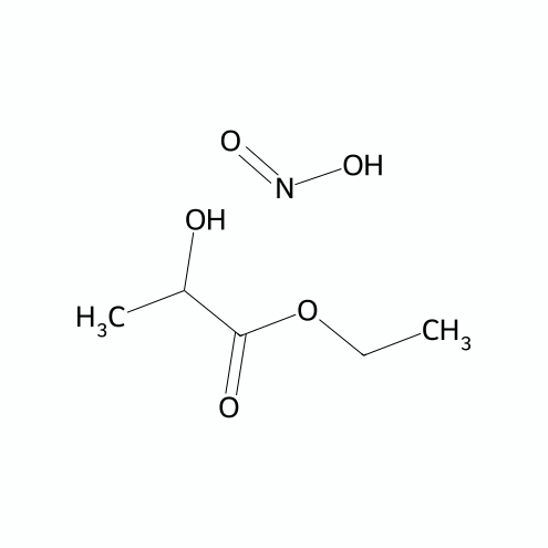 CCOC(=O)C(C)O.O=NO